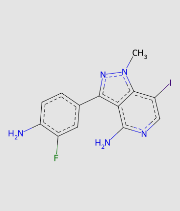 Cn1nc(-c2ccc(N)c(F)c2)c2c(N)ncc(I)c21